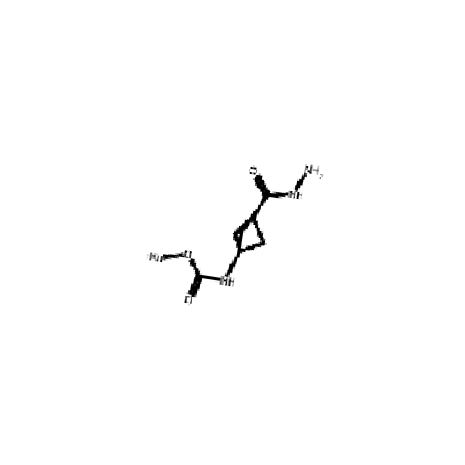 CC(C)(C)OC(=O)NC12CC(C(=O)NN)(C1)C2